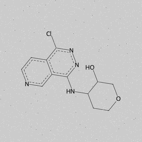 OC1COCCC1Nc1nnc(Cl)c2ccncc12